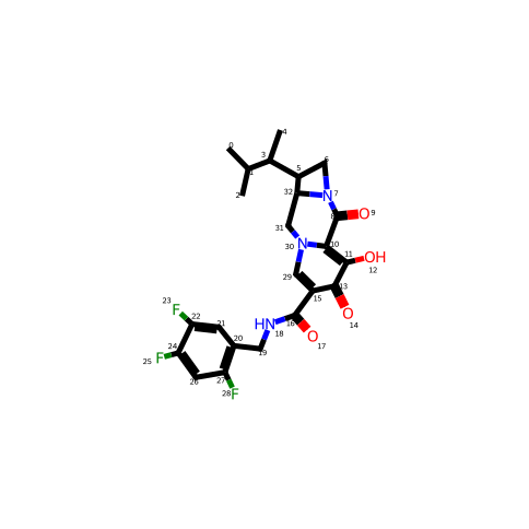 CC(C)C(C)C1CN2C(=O)c3c(O)c(=O)c(C(=O)NCc4cc(F)c(F)cc4F)cn3CC12